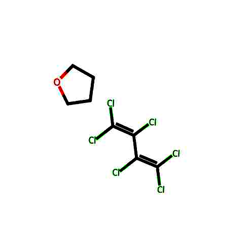 C1CCOC1.ClC(Cl)=C(Cl)C(Cl)=C(Cl)Cl